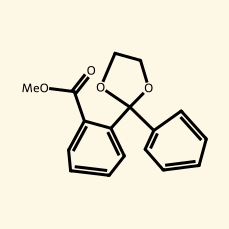 COC(=O)c1ccccc1C1(c2ccccc2)OCCO1